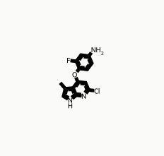 Cc1c[nH]c2nc(Cl)cc(Oc3ccc(N)cc3F)c12